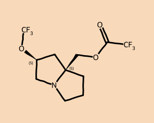 O=C(OC[C@@]12CCCN1C[C@@H](OC(F)(F)F)C2)C(F)(F)F